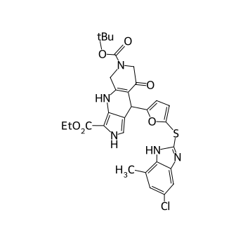 CCOC(=O)c1[nH]cc2c1NC1=C(C(=O)CN(C(=O)OC(C)(C)C)C1)C2c1ccc(Sc2nc3cc(Cl)cc(C)c3[nH]2)o1